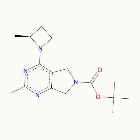 Cc1nc2c(c(N3CC[C@@H]3C)n1)CN(C(=O)OC(C)(C)C)C2